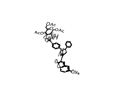 COc1ccc2oc(=O)c(C3=NN(c4ccc(C(=O)N[C@H]5C(OC(C)=O)O[C@H](COC(C)=O)[C@@H](OC(C)=O)[C@@H]5OC(C)=O)cc4)C(c4ccccc4)C3)cc2c1